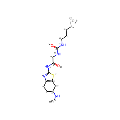 CCCN[C@H]1CCc2nc(NC(=O)CNC(=O)NCCCCC(=O)O)sc2C1